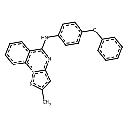 Cc1cc2nc(Nc3ccc(Oc4ccccc4)cc3)c3ccccc3n2n1